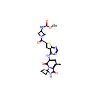 Cc1cc(Nc2ncnc3sc(C(=O)N4CC(NC(=O)OC(C)(C)C)C4)cc23)c(=O)n2c1C(=O)NC21CCC1